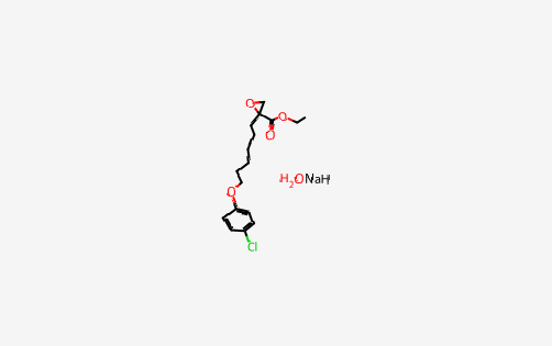 CCOC(=O)C1(CCCCCCOc2ccc(Cl)cc2)CO1.O.[NaH]